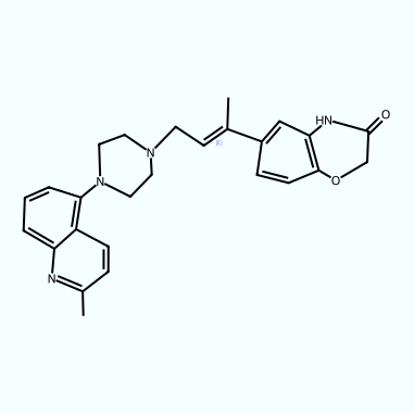 C/C(=C\CN1CCN(c2cccc3nc(C)ccc23)CC1)c1ccc2c(c1)NC(=O)CO2